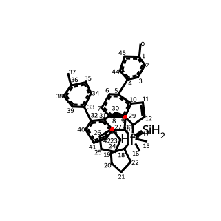 Cc1ccc(-c2cccc3c2C=C[CH]3[Hf]([CH3])([CH3])(=[SiH2])([CH]2CCCC2)([CH]2CCCC2)[CH]2C=Cc3c(-c4ccc(C)cc4)cccc32)cc1